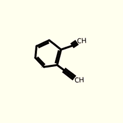 C#Cc1[c]cccc1C#C